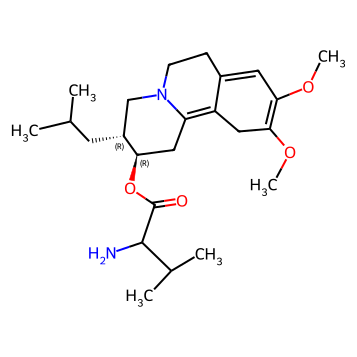 COC1=C(OC)CC2=C3C[C@@H](OC(=O)C(N)C(C)C)[C@H](CC(C)C)CN3CCC2=C1